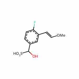 CO/C=C/c1cc(C(O)S(=O)(=O)O)ccc1F